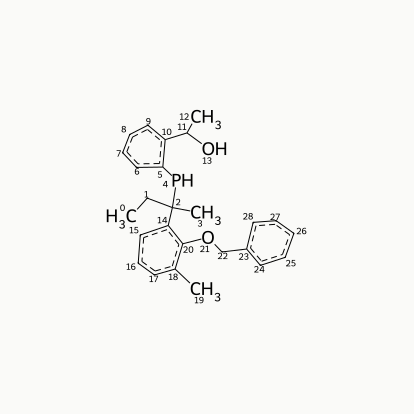 CCC(C)(Pc1ccccc1C(C)O)c1cccc(C)c1OCc1ccccc1